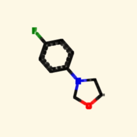 Fc1ccc(N2C[CH]OC2)cc1